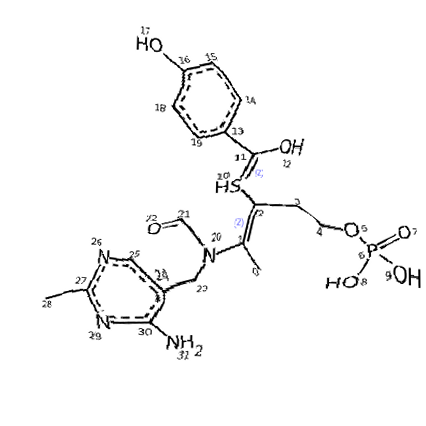 C/C(=C(CCOP(=O)(O)O)/[SH]=C(\O)c1ccc(O)cc1)N(C=O)Cc1cnc(C)nc1N